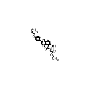 CCCOc1ccc(-c2cnc3c(C(=O)NCC(=O)OCC)c(O)ccc3n2)cc1